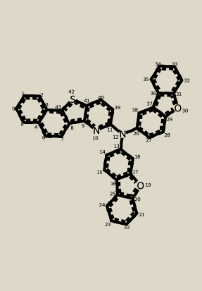 c1ccc2c(c1)ccc1c3nc(N(c4ccc5c(c4)oc4ccccc45)c4ccc5oc6ccccc6c5c4)ccc3sc21